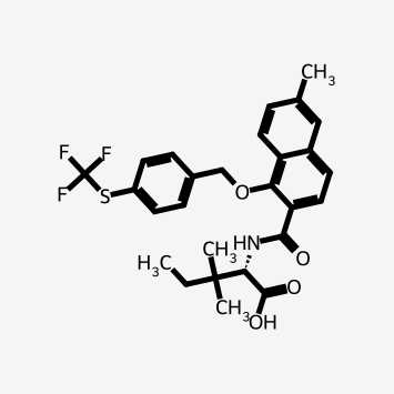 CCC(C)(C)[C@H](NC(=O)c1ccc2cc(C)ccc2c1OCc1ccc(SC(F)(F)F)cc1)C(=O)O